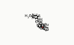 Cc1cn2cc(NC(=O)N3CCc4c(N5CC6COCC(C5)N6C(=O)OC(C)(C)C)ccnc43)c(F)cc2n1